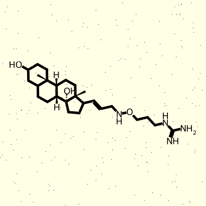 C[C@]12CCC(O)CC1CC[C@@H]1[C@H]2CC[C@]2(C)C(/C=C/CNOCCCNC(=N)N)CC[C@@]12O